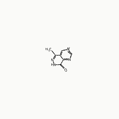 Cc1n[nH]c(=O)c2ncncc12